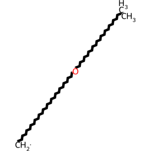 [CH2]CCCCCCCCCCCCCCCCCCCCCCCCCCCOCCCCCCCCCCCCCCCCCCCCCC(C)C